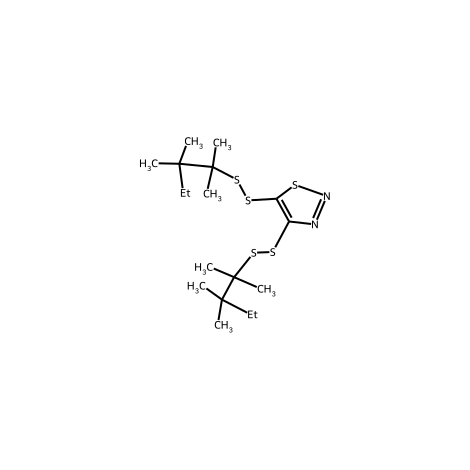 CCC(C)(C)C(C)(C)SSc1nnsc1SSC(C)(C)C(C)(C)CC